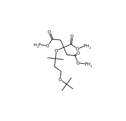 CC(C)(C)OCCC(C)(C)OC(CC(=O)OP)(CC(=O)OP)C(=O)OP